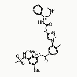 COc1c(NC(=O)c2ccc(C)c(-n3cc(OC(=O)N[C@H](CN(C)C)c4ccccc4)nn3)c2)cc(C(C)(C)C)cc1NS(C)(=O)=O